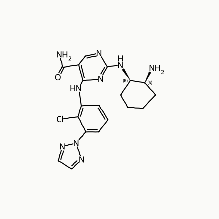 NC(=O)c1cnc(N[C@@H]2CCCC[C@@H]2N)nc1Nc1cccc(-n2nccn2)c1Cl